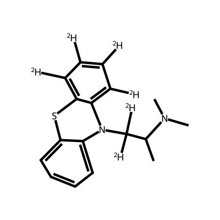 [2H]c1c([2H])c([2H])c2c(c1[2H])Sc1ccccc1N2C([2H])([2H])C(C)N(C)C